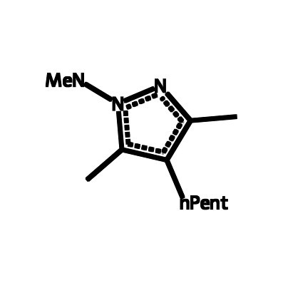 CCCCCc1c(C)nn(NC)c1C